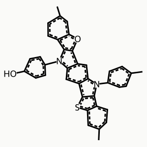 Cc1ccc(-n2c3cc4c5oc6cc(C)ccc6c5n(-c5ccc(O)cc5)c4cc3c3sc4cc(C)ccc4c32)cc1